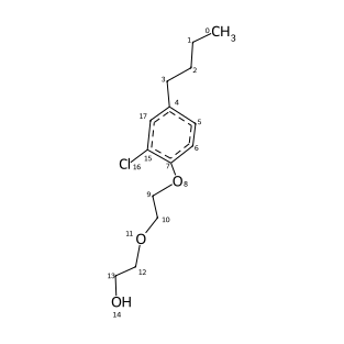 CCCCc1ccc(OCCOCCO)c(Cl)c1